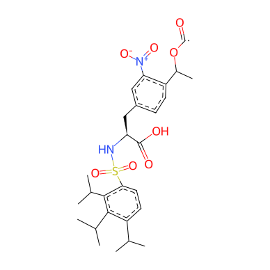 CC(C)c1ccc(S(=O)(=O)N[C@@H](Cc2ccc(C(C)O[C]=O)c([N+](=O)[O-])c2)C(=O)O)c(C(C)C)c1C(C)C